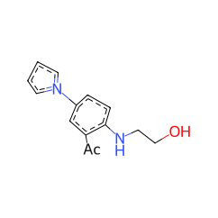 CC(=O)c1cc(-n2cccc2)ccc1NCCO